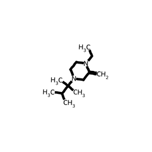 C=C1CN(C(C)(C)C(C)C)CCN1CC